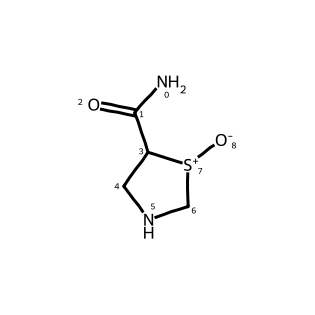 NC(=O)C1CNC[S+]1[O-]